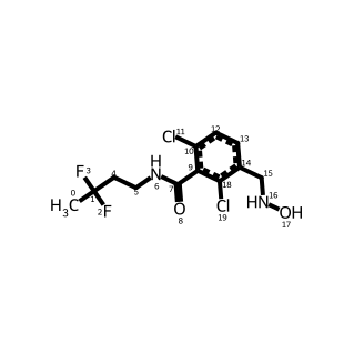 CC(F)(F)CCNC(=O)c1c(Cl)ccc(CNO)c1Cl